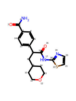 NC(=O)c1ccc(C(CC2CCOCC2)C(=O)Nc2nccs2)cc1